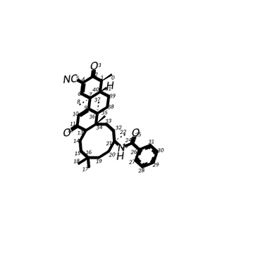 C[C@@H]1C(=O)C(C#N)=C[C@]2(C)C3=CC(=O)C4CCC(C)(C)CC[C@](C)(NC(=O)c5ccccc5)CC[C@@]4(C)[C@]3(C)CC[C@@H]12